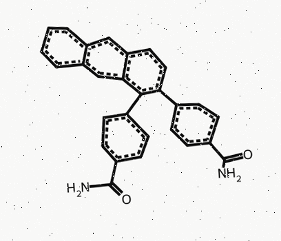 NC(=O)c1ccc(-c2ccc3cc4ccccc4cc3c2-c2ccc(C(N)=O)cc2)cc1